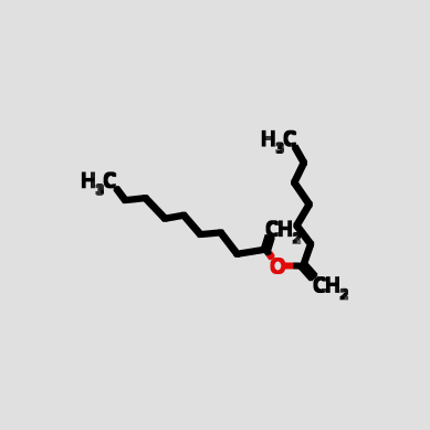 C=C(CCCCCC)OC(=C)CCCCCCCC